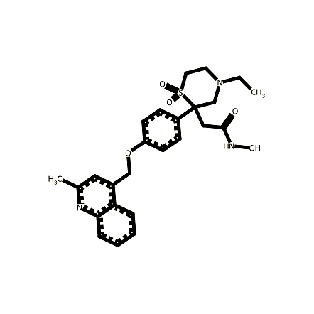 CCN1CCS(=O)(=O)C(CC(=O)NO)(c2ccc(OCc3cc(C)nc4ccccc34)cc2)C1